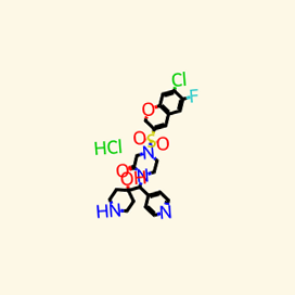 Cl.O=C1CN(S(=O)(=O)C2=Cc3cc(F)c(Cl)cc3OC2)CCN1C(c1ccncc1)C1(O)CCNCC1